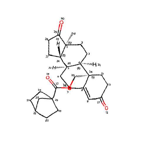 C[C@]12CC[C@@H]3[C@@H](CCC4=CC(=O)CC[C@@]43COC(=O)C34CCC(CC3)C4)[C@@H]1CCC2=O